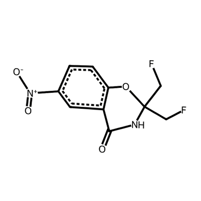 O=C1NC(CF)(CF)Oc2ccc([N+](=O)[O-])cc21